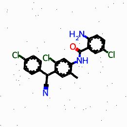 Cc1cc(C(C#N)c2ccc(Cl)cc2)c(Cl)cc1NC(=O)c1cc(Cl)ccc1N